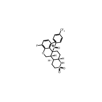 O=S1(=O)CC[C@@H]2[C@H](CC[C@@]3(S(=O)(=O)c4ccc(C(F)(F)F)cc4)c4c(F)ccc(F)c4OC[C@@H]23)N1